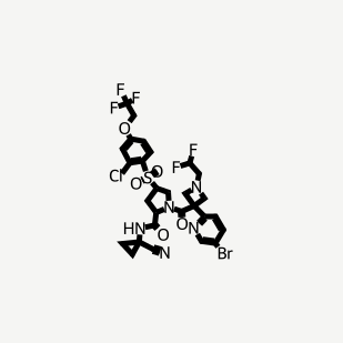 N#CC1(NC(=O)C2CC(S(=O)(=O)c3ccc(OCC(F)(F)F)cc3Cl)CN2C(=O)C2(c3ccc(Br)cn3)CN(CC(F)F)C2)CC1